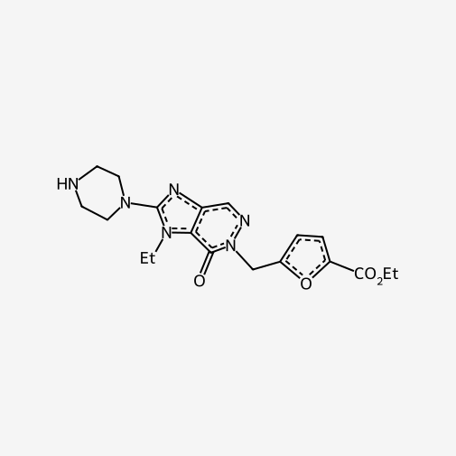 CCOC(=O)c1ccc(Cn2ncc3nc(N4CCNCC4)n(CC)c3c2=O)o1